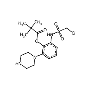 CC(C)(C)C(=O)Oc1c(NS(=O)(=O)CCl)cccc1N1CCNCC1